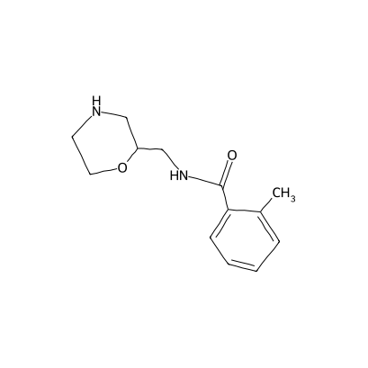 Cc1ccccc1C(=O)NCC1CNCCO1